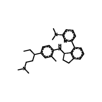 CCC(CCN(C)C)c1ccc(NC2CCc3cccc(-c4cccc(N(C)C)n4)c32)c(C)c1